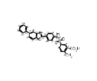 Cc1ccc(S(=O)(=O)Nc2ccc(-c3nc4cc(-c5ccccc5)ccc4o3)cc2)cc1C(=O)O